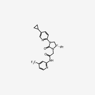 CC(C)[C@H]1CN(c2ccc(C3CC3)cn2)C(=O)N1CC(=O)Nc1cc(C(F)(F)F)ccn1